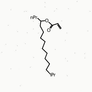 C=CC(=O)OC(CCC)CCCCCCCCCC(C)C